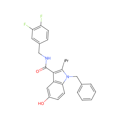 CC(C)c1c(C(=O)NCc2ccc(F)c(F)c2)c2cc(O)ccc2n1Cc1ccccc1